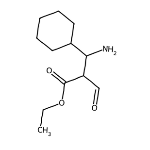 CCOC(=O)C(C=O)C(N)C1CCCCC1